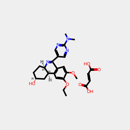 CCOc1cc2c(cc1OC)C(c1cnc(N(C)C)nc1)=N[C@@H]1CC[C@@H](O)C[C@H]21.O=C(O)C=CC(=O)O